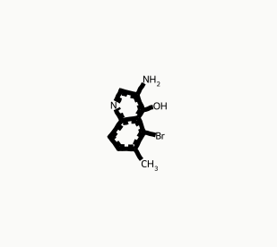 Cc1ccc2ncc(N)c(O)c2c1Br